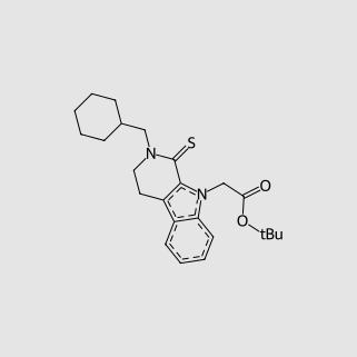 CC(C)(C)OC(=O)Cn1c2c(c3ccccc31)CCN(CC1CCCCC1)C2=S